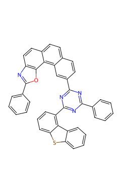 c1ccc(-c2nc(-c3ccc4ccc5ccc6nc(-c7ccccc7)oc6c5c4c3)nc(-c3cccc4sc5ccccc5c34)n2)cc1